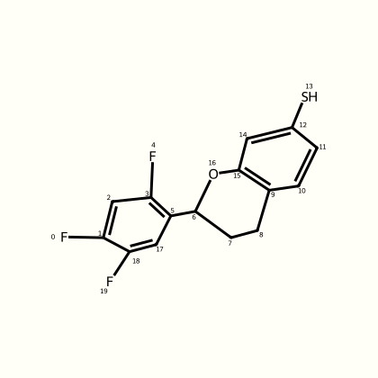 Fc1cc(F)c(C2CCc3ccc(S)cc3O2)cc1F